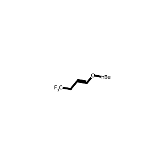 CCCCO/C=C/CC(F)(F)F